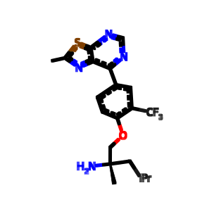 Cc1nc2c(-c3ccc(OC[C@@](C)(N)CC(C)C)c(C(F)(F)F)c3)ncnc2s1